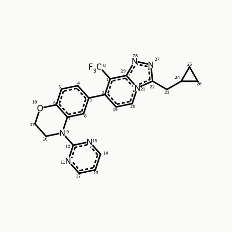 FC(F)(F)c1c(-c2ccc3c(c2)N(c2ncccn2)CCO3)ccn2c(CC3CC3)nnc12